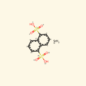 O=S(=O)(O)c1cccc2c(S(=O)(=O)O)cccc12.[SrH2]